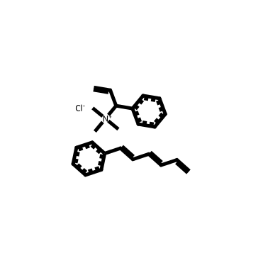 C=CC(c1ccccc1)[N+](C)(C)C.C=CC=CC=Cc1ccccc1.[Cl-]